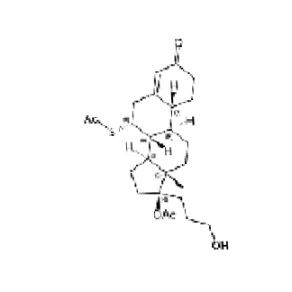 CC(=O)O[C@@]1(CCCO)CC[C@H]2[C@H]3[C@H](CC[C@@]21C)[C@H]1CCC(=O)C=C1C[C@H]3SC(C)=O